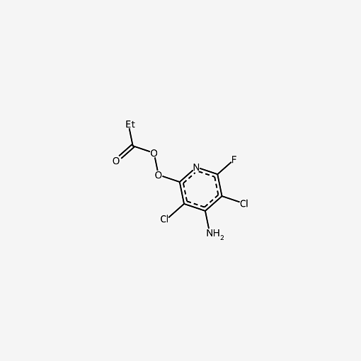 CCC(=O)OOc1nc(F)c(Cl)c(N)c1Cl